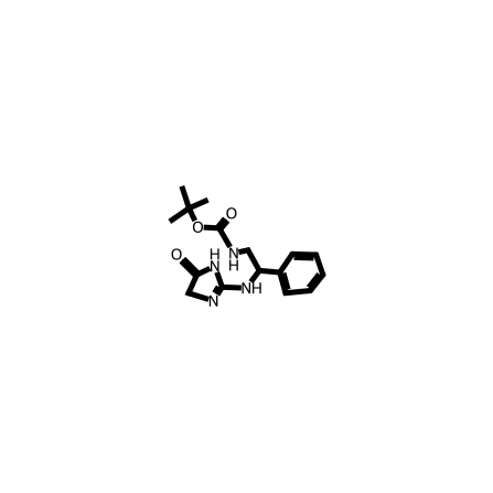 CC(C)(C)OC(=O)NCC(NC1=NCC(=O)N1)c1ccccc1